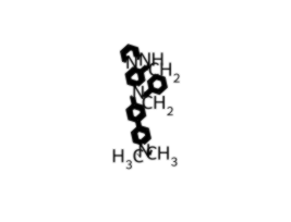 C=C(Nc1ccccn1)c1cccc(N(Cc2ccc(-c3ccc(N(C)C)cc3)cc2)C(=C)C2CCCCC2)c1